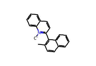 [CH2-][n+]1c(-c2c(C)ccc3ccccc23)ccc2ccccc21